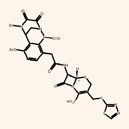 CCN1C(=O)C(=O)N2CC1c1c(OC(C)=O)ccc(CC(=O)NC3C(=O)N4C(C(=O)O)=C(CSc5nncs5)CS[C@@H]34)c1N2C=O